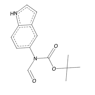 CC(C)(C)OC(=O)N(C=O)c1ccc2[nH]ccc2c1